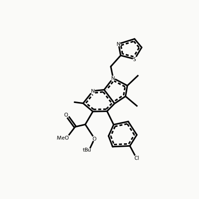 COC(=O)C(OC(C)(C)C)c1c(C)nc2c(c(C)c(C)n2Cc2nccs2)c1-c1ccc(Cl)cc1